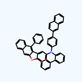 c1ccc(-c2ccccc2N(c2ccc(-c3ccc4ccccc4c3)cc2)c2ccc3oc4cc5ccccc5c(-c5ccccc5)c4c3c2)cc1